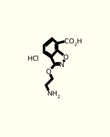 Cl.NCCOc1noc2c(C(=O)O)cccc12